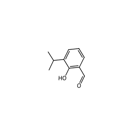 CC(C)c1cccc(C=O)c1O